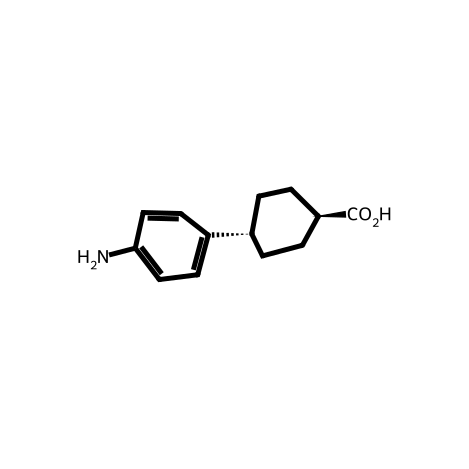 Nc1ccc([C@H]2CC[C@H](C(=O)O)CC2)cc1